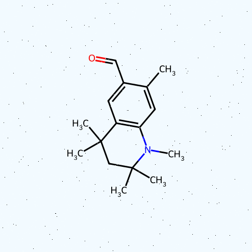 Cc1cc2c(cc1C=O)C(C)(C)CC(C)(C)N2C